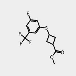 COC(=O)C1CC(Sc2cc(F)cc(C(F)(F)F)c2)C1